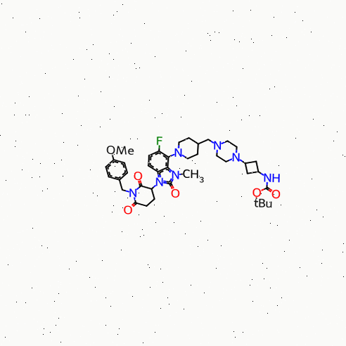 COc1ccc(CN2C(=O)CCC(n3c(=O)n(C)c4c(N5CCC(CN6CCN(C7CC(NC(=O)OC(C)(C)C)C7)CC6)CC5)c(F)ccc43)C2=O)cc1